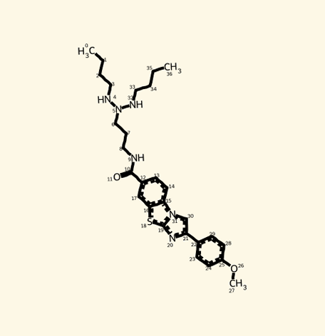 CCCCNN(CCCNC(=O)c1ccc2c(c1)sc1nc(-c3ccc(OC)cc3)cn12)NCCCC